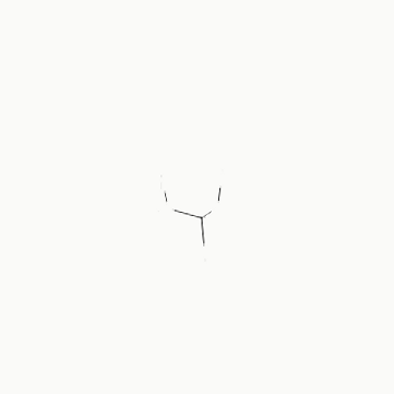 C[CH]C(OCC)OCC